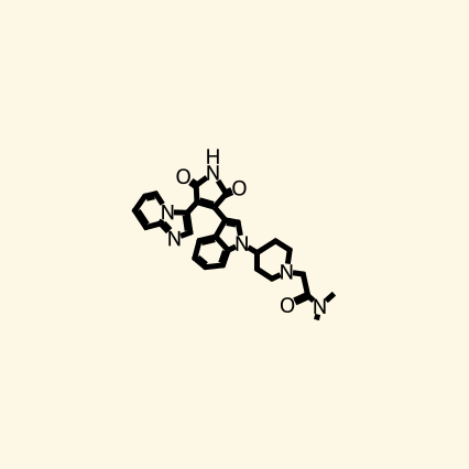 CN(C)C(=O)CN1CCC(n2cc(C3=C(c4cnc5ccccn45)C(=O)NC3=O)c3ccccc32)CC1